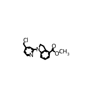 COC(=O)c1cccc2c1CCN2c1cc(CCl)ccn1